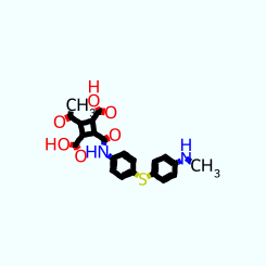 CNc1ccc(Sc2ccc(NC(=O)C3C(C(=O)O)C(C(C)=O)C3C(=O)O)cc2)cc1